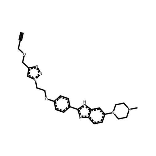 C#CCOCc1cn(CCOc2ccc(-c3nc4ccc(N5CCN(C)CC5)cc4[nH]3)cc2)nn1